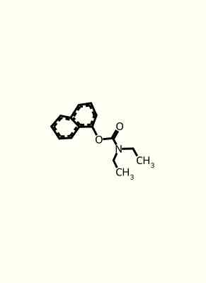 CCN(CC)C(=O)Oc1cccc2ccccc12